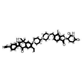 CCc1cc2c(cc1N1CCC(N3CCN(Cc4ccc5c(c4F)CN(C4CCC(=O)NC4=O)C5=O)CC3)CC1)C(C)(C)c1[nH]c3cc(C#N)ccc3c1C2=O